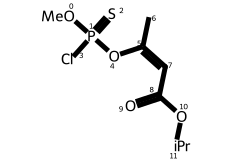 COP(=S)(Cl)O/C(C)=C\C(=O)OC(C)C